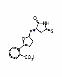 O=C1NC(=S)S/C1=C\C1CC=C(c2ccccc2C(=O)O)O1